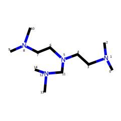 CN(C)CCN(CCN(C)C)CN(C)C